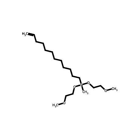 C=CCCCCCCCCCC[Si](C)(OCCOC)OCCOC